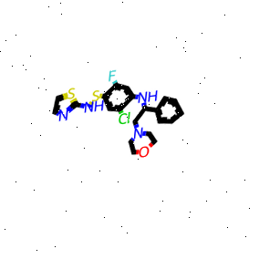 Fc1cc(NC(CN2CCOCC2)c2ccccc2)c(Cl)cc1SNc1nccs1